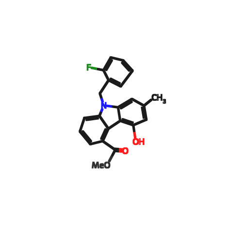 COC(=O)c1cccc2c1c1c(O)cc(C)cc1n2Cc1ccccc1F